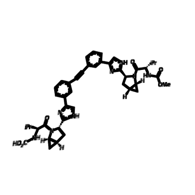 COC(=O)N[C@H](C(=O)N1[C@@H]2C[C@@H]2C[C@H]1c1nc(-c2cccc(C#Cc3cccc(-c4c[nH]c([C@@H]5C[C@H]6C[C@H]6N5C(=O)[C@@H](NC(=O)O)C(C)C)n4)c3)c2)c[nH]1)C(C)C